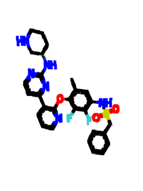 Cc1cc(NS(=O)(=O)Cc2ccccc2)c(F)c(F)c1Oc1ncccc1-c1ccnc(N[C@H]2CCCNC2)n1